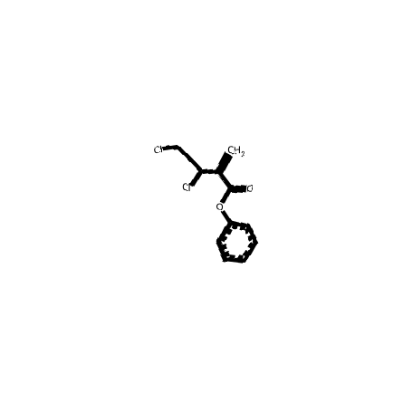 C=C(C(=O)Oc1ccccc1)C(Cl)CCl